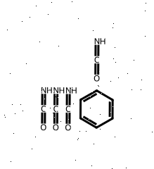 N=C=O.N=C=O.N=C=O.N=C=O.c1ccccc1